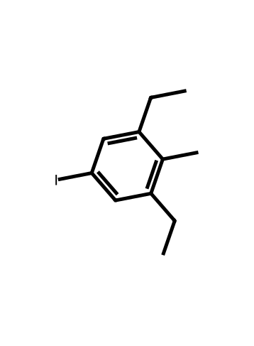 CCc1cc(I)cc(CC)c1C